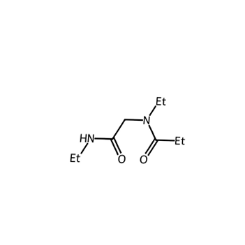 CCNC(=O)CN(CC)C(=O)CC